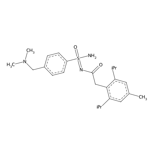 Cc1cc(C(C)C)c(CC(=O)N=S(N)(=O)c2ccc(CN(C)C)cc2)c(C(C)C)c1